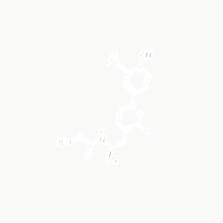 CC(C)(C)OC(=O)N[C@H](C#N)Cc1ccc(-c2ccc(C#N)c(C3CC3)c2)cc1F